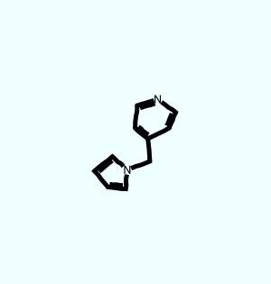 c1ccn(Cc2ccncc2)c1